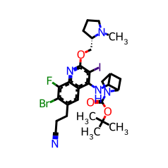 CN1CCC[C@H]1COc1nc2c(F)c(Br)c(CCC#N)cc2c(NC2C3CC2N(C(=O)OC(C)(C)C)C3)c1I